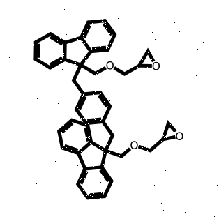 c1ccc2c(c1)-c1ccccc1C2(COCC1CO1)Cc1ccc(CC2(COCC3CO3)c3ccccc3-c3ccccc32)cc1